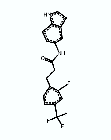 O=C(CCc1ccc(C(F)(F)F)cc1F)Nc1ccc2[nH]ccc2c1